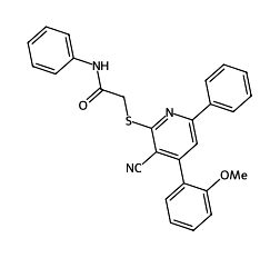 COc1ccccc1-c1cc(-c2ccccc2)nc(SCC(=O)Nc2ccccc2)c1C#N